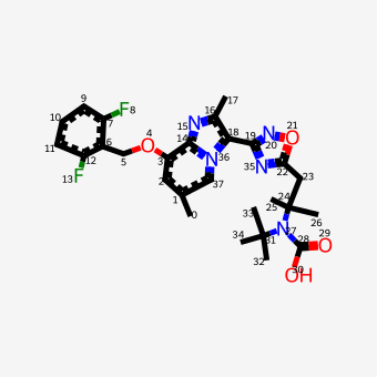 Cc1cc(OCc2c(F)cccc2F)c2nc(C)c(-c3noc(CC(C)(C)N(C(=O)O)C(C)(C)C)n3)n2c1